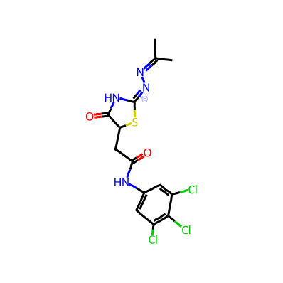 CC(C)=N/N=C1\NC(=O)C(CC(=O)Nc2cc(Cl)c(Cl)c(Cl)c2)S1